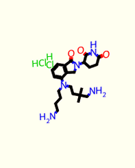 CC(C)(CN)CCN(CCCCN)c1cccc2c1CN(C1CCC(=O)NC1=O)C2=O.Cl.Cl